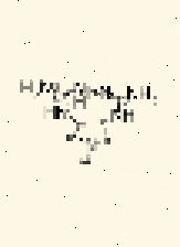 CN(CCNC(=N)N)CCNC(=N)N